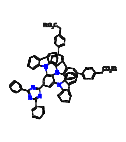 CCOC(=O)Cc1ccc(-c2ccc3c(c2)c2cc(-c4ccc(CC(=O)OCC)cc4)ccc2n3-c2c(-n3c4ccccc4c4ccccc43)cc(-c3nc(-c4ccccc4)nc(-c4ccccc4)n3)cc2-n2c3ccccc3c3ccccc32)cc1